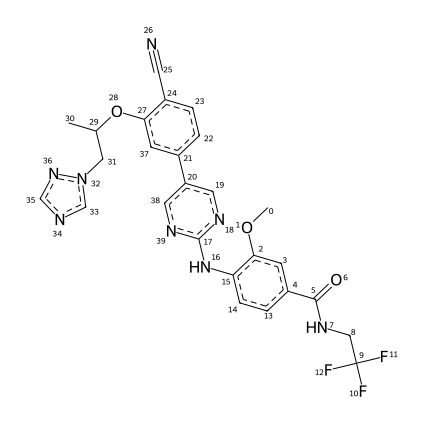 COc1cc(C(=O)NCC(F)(F)F)ccc1Nc1ncc(-c2ccc(C#N)c(OC(C)Cn3cncn3)c2)cn1